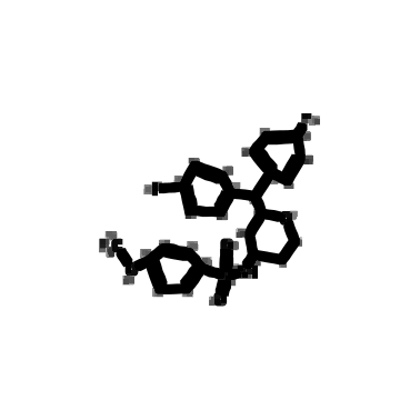 O=S(=O)(NC1CCOC(C(c2ccc(F)cc2)c2ccc(F)cc2)C1)c1ccc(OC(F)(F)F)cc1